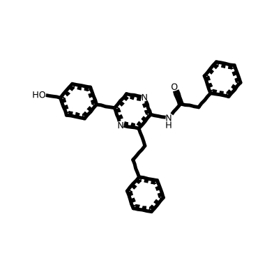 O=C(Cc1ccccc1)Nc1ncc(-c2ccc(O)cc2)nc1CCc1ccccc1